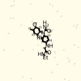 CCNC(=O)CNc1ccc(N(C(N)=O)C2=CC(=O)C(C)=CC2=N)cc1